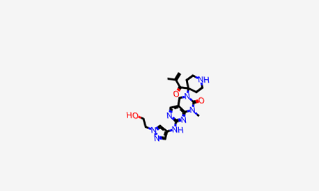 C=C(C)C(=O)C1(N2Cc3cnc(Nc4cnn(CCO)c4)nc3N(C)C2=O)CCNCC1